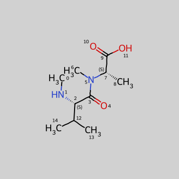 CN[C@H](C(=O)N(C)[C@@H](C)C(=O)O)C(C)C